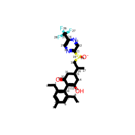 CCc1cc(C)cc(CC)c1C1=C(O)CC(C(C)C[S+]([O-])c2cnc(C(F)(F)F)cn2)CC1=O